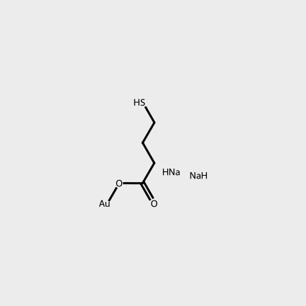 O=C(CCCS)[O][Au].[NaH].[NaH]